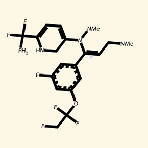 CNC/C=C(/c1cc(F)cc(OC(F)(F)CF)c1)N(NC)C1=CC=C(C(F)(F)P)NC1